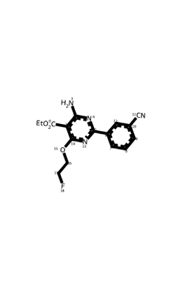 CCOC(=O)c1c(N)nc(-c2cccc(C#N)c2)nc1OCCF